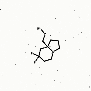 CC(C)OC[C@@]12CCCN1CCC(F)(F)C2